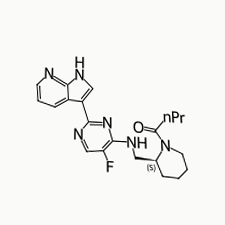 CCCC(=O)N1CCCC[C@H]1CNc1nc(-c2c[nH]c3ncccc23)ncc1F